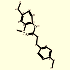 CCc1ccc(CCC(=O)Oc2ccc(CC)cc2OC)cc1